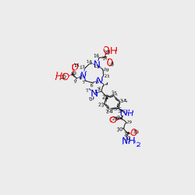 CN(C)C(CN1CCN(CC(=O)O)CCN(CC(=O)O)CC1)c1ccc(NC(=O)CCC(N)=O)cc1